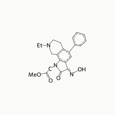 CCN1CCc2c(-c3ccccc3)cc3c(c2C1)N(CC(=O)OC)C(=O)/C3=N/O